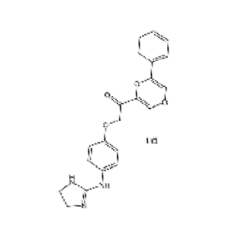 Cl.O=C(COc1ccc(NC2=NCCN2)cc1)C1=COC=C(C2=CC=CCC2)O1